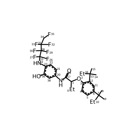 CCC(Oc1ccc(C(C)(C)CC)cc1C(C)(C)CC)C(=O)Nc1ccc(NC(F)(F)C(F)(F)C(F)(F)CF)c(O)c1